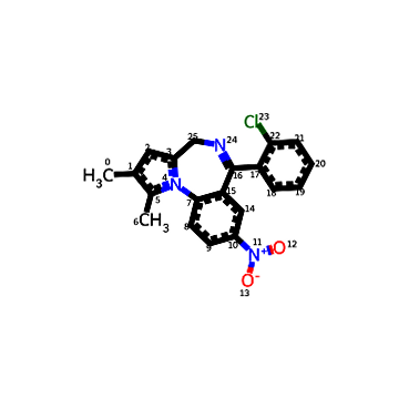 Cc1cc2n(c1C)-c1ccc([N+](=O)[O-])cc1C(c1ccccc1Cl)=NC2